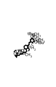 C=C1/C(=C\C=C2/CCC[C@]3(C)[C@@H]([C@H](C)[C@@H](O)CCCC4(C5(CCCC)OCCO5)CC4)CC[C@@H]23)C[C@@H](O[Si](C)(C)C(C)(C)C)C[C@@H]1O[Si](C)(C)C(C)(C)C